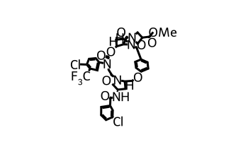 COC(=O)C1CN(C(=O)[C@@H]2[C@@H]3CCN2C(=O)c2ccc(cc2)OC[C@@H]2C[C@@H](NC(=O)c4cccc(Cl)c4)CN2C(=O)CN(c2ccc(Cl)c(C(F)(F)F)c2)C(=O)O3)C1